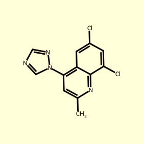 Cc1cc(-n2cncn2)c2cc(Cl)cc(Cl)c2n1